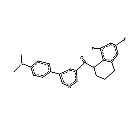 CN(C)c1ccc(-c2cncc(C(=O)N3CCCc4cc(F)cc(F)c43)c2)cc1